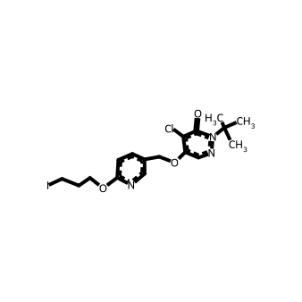 CC(C)(C)n1ncc(OCc2ccc(OCCCI)nc2)c(Cl)c1=O